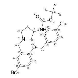 CC(C)(C)OC(=O)NC1CCN(Cc2cc(Br)ccc2OCc2ccc(Cl)cc2)C1